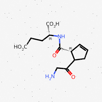 NCC(=O)C1CC=C[C@H]1C(=O)N[C@H](CCC(=O)O)C(=O)O